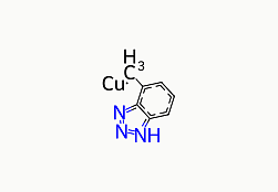 Cc1cccc2[nH]nnc12.[Cu]